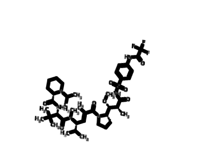 CO[C@H]([C@@H](C)C(=O)NS(=O)(=O)c1ccc(NC(=O)C(F)(F)F)cc1)[C@@H]1CCCN1C(=O)C(C)=C[C@H](C(C)C)N(C)C(=O)[C@@H](NC(=O)[C@@H]1CCCCN1C(C)C)C(C)(C)C